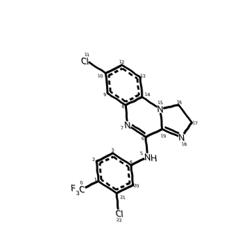 FC(F)(F)c1ccc(NC2=Nc3cc(Cl)ccc3N3CCN=C23)cc1Cl